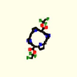 O=C(OC(F)(F)CF)c1c2nc(cc3ccc([nH]3)c(C(=O)OC(F)(F)CF)c3nc(cc4ccc1[nH]4)C=C3)C=C2